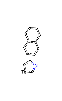 c1c[te]cn1.c1ccc2ccccc2c1